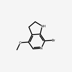 COc1cnc(Br)c2c1CCN2